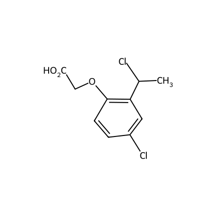 CC(Cl)c1cc(Cl)ccc1OCC(=O)O